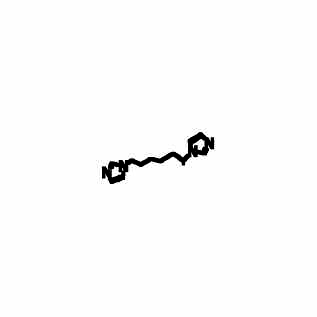 [CH](CCCCCn1ccnc1)n1ccnc1